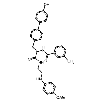 COc1ccc(NCCNC(=O)C(Cc2ccc(-c3ccc(O)cc3)cc2)NC(=O)c2cccc(C)c2)cc1